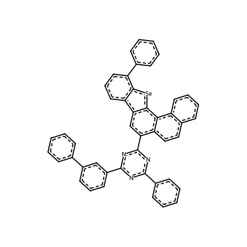 c1ccc(-c2cccc(-c3nc(-c4ccccc4)nc(-c4cc5c6cccc(-c7ccccc7)c6[se]c5c5c4ccc4ccccc45)n3)c2)cc1